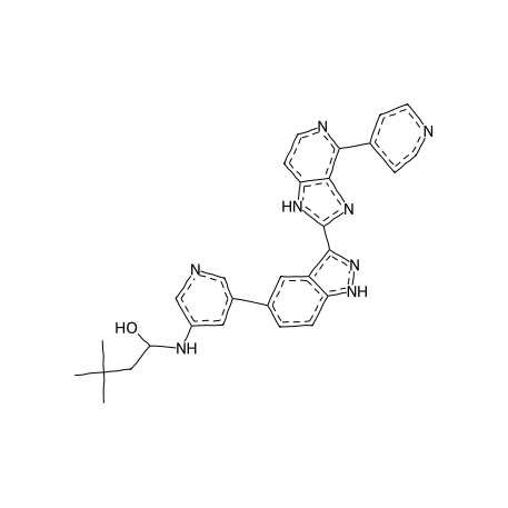 CC(C)(C)CC(O)Nc1cncc(-c2ccc3[nH]nc(-c4nc5c(-c6ccncc6)nccc5[nH]4)c3c2)c1